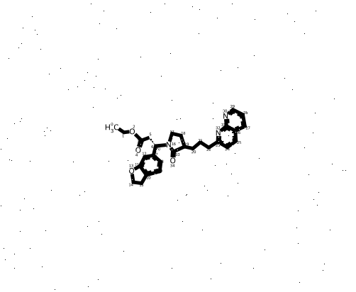 CCOC(=O)C[C@@H](c1ccc2c(c1)OCC2)N1CCC(CCCc2ccc3cccnc3n2)C1=O